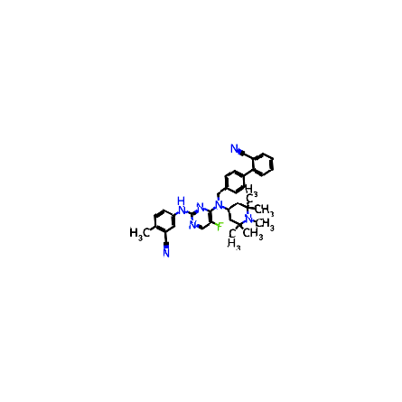 Cc1ccc(Nc2ncc(F)c(N(Cc3ccc(-c4ccccc4C#N)cc3)C3CC(C)(C)N(C)C(C)(C)C3)n2)cc1C#N